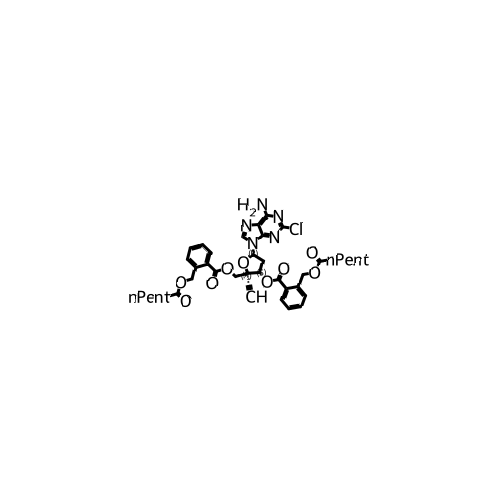 C#C[C@]1(COC(=O)c2ccccc2COC(=O)CCCCC)O[C@@H](n2cnc3c(N)nc(Cl)nc32)C[C@@H]1OC(=O)c1ccccc1COC(=O)CCCCC